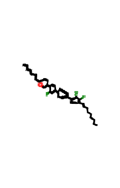 CCCCCCCCCc1ccc(-c2ccc(-c3ccc(C4CCC(CCCCCCC)OC4)c(F)c3)cc2)c(F)c1F